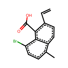 C=Cc1ccc2c(C)ccc(Br)c2c1C(=O)O